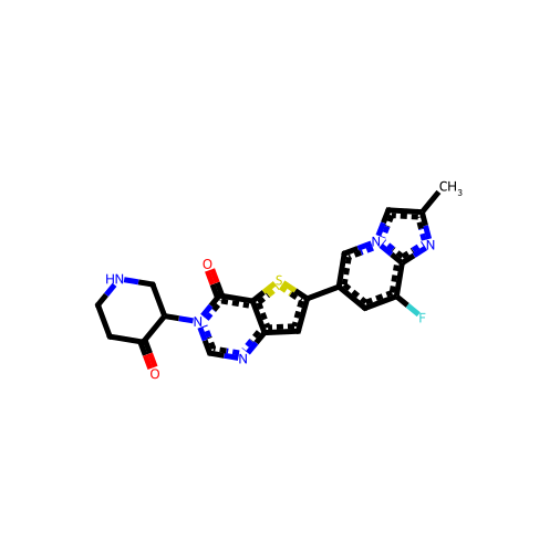 Cc1cn2cc(-c3cc4ncn(C5CNCCC5=O)c(=O)c4s3)cc(F)c2n1